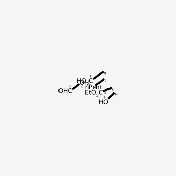 CC(=O)O.CCCCCC.CCOC(C)=O.CO.O=CO